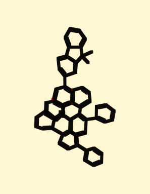 CC1(C)c2ccccc2-c2ccc(-c3ccc(N(c4ccccc4-c4ccc(-c5ccccc5)cc4)c4cccc(-c5ccccc5)c4-c4ccccc4-c4ccccc4)cc3)cc21